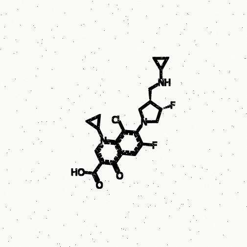 O=C(O)c1cn(C2CC2)c2c(Cl)c(N3C[C@@H](CNC4CC4)[C@H](F)C3)c(F)cc2c1=O